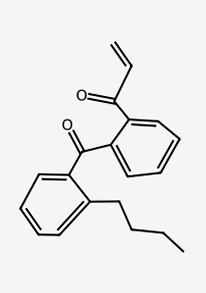 C=CC(=O)c1ccccc1C(=O)c1ccccc1CCCC